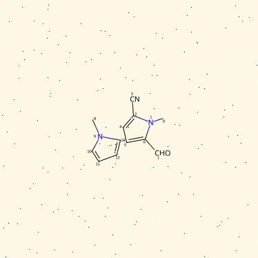 Cn1c(C#N)ccc1C=O.Cn1cccc1